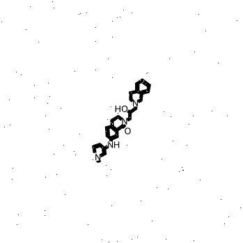 C=N/C=C(\C=C/C)Nc1ccc2c(c1)C(=O)N(CC(O)CN1CCc3ccccc3C1)CC2